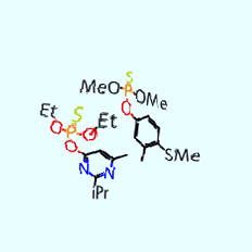 CCOP(=S)(OCC)Oc1cc(C)nc(C(C)C)n1.COP(=S)(OC)Oc1ccc(SC)c(C)c1